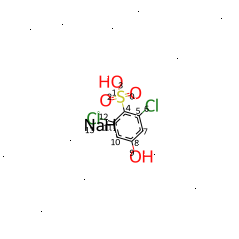 O=S(=O)(O)c1c(Cl)cc(O)cc1Cl.[NaH]